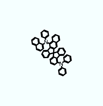 c1ccc(N(c2ccccc2)c2cccc3c2-c2ccccc2C32c3ccccc3-c3c2cc2ccccc2c3N(c2ccccc2)c2cccc3ccccc23)cc1